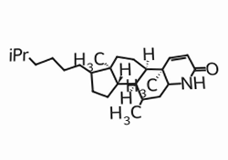 CC(C)CCCCC1CC[C@H]2[C@@H]3C(C)CC4NC(=O)C=C[C@]4(C)[C@@H]3CC[C@]12C